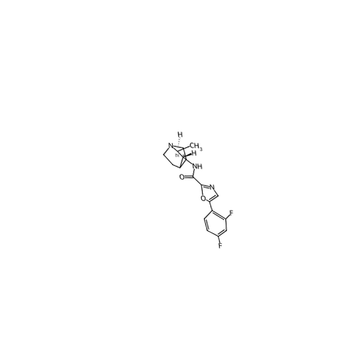 C[C@H]1[C@H](NC(=O)c2ncc(-c3ccc(F)cc3F)o2)C2CCN1CC2